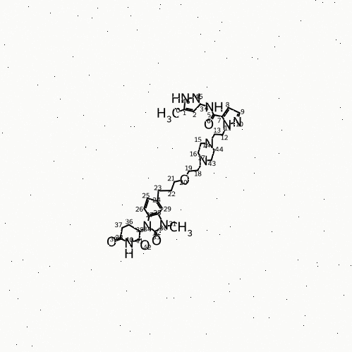 Cc1cc(NC(=O)c2ccnn2CCN2CCN(CCOCCCc3ccc4c(c3)n(C)c(=O)n4C3CCC(=O)NC3=O)CC2)n[nH]1